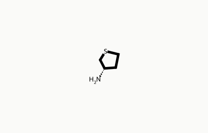 N[C@H]1CCSC1